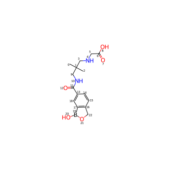 CC(C)(CNCC(=O)O)CNC(=O)c1ccc2c(c1)B(O)OC2